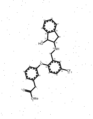 COC(=O)Cc1cccc(Oc2ccc(C(F)(F)F)cc2CNC2Cc3ccccc3C2O)c1